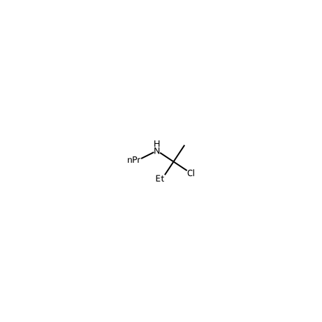 CCCNC(C)(Cl)CC